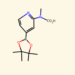 CN(C(=O)O)c1cc(B2OC(C)(C)C(C)(C)O2)ccn1